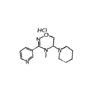 CN1C(c2cccnc2)=NOCC1N1CCCCC1.Cl